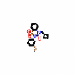 CSc1cccc(N2C(=O)N(CC3CCC3)c3ccccc3S2(=O)=O)c1